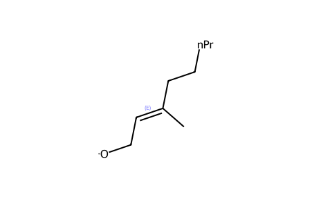 CCCCC/C(C)=C/C[O]